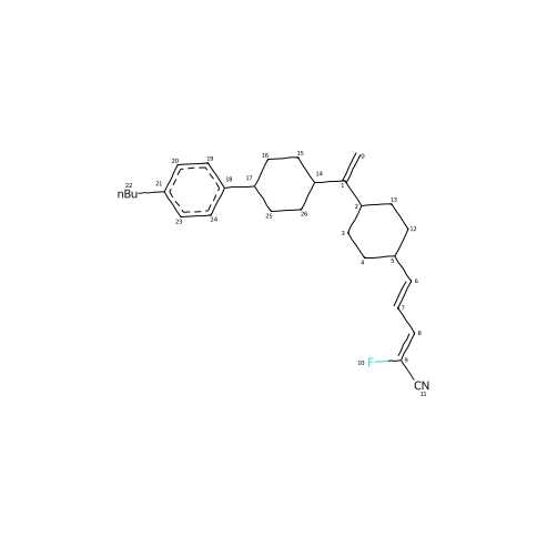 C=C(C1CCC(C=CC=C(F)C#N)CC1)C1CCC(c2ccc(CCCC)cc2)CC1